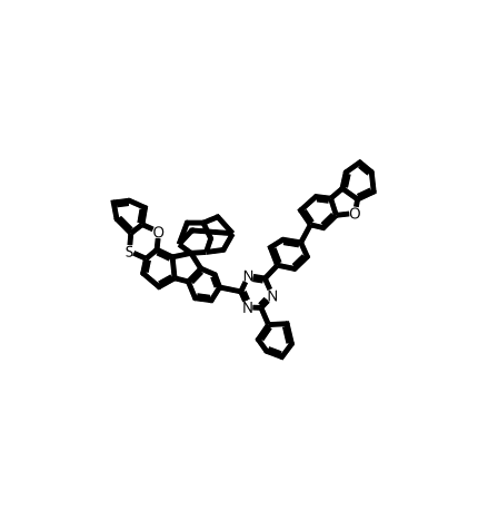 c1ccc(-c2nc(-c3ccc(-c4ccc5c(c4)oc4ccccc45)cc3)nc(-c3ccc4c(c3)C3(c5c-4ccc4c5Oc5ccccc5S4)C4CC5CC(C4)CC3C5)n2)cc1